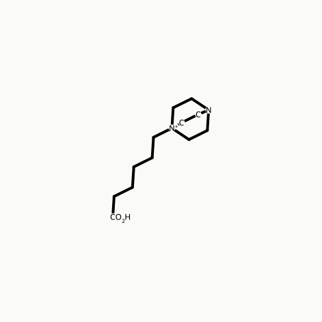 O=C(O)CCCCC[N+]12CCN(CC1)CC2